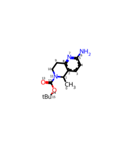 CC1c2ccc(N)nc2CCN1C(=O)OC(C)(C)C